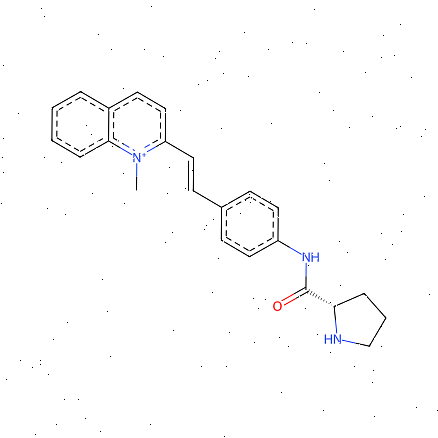 C[n+]1c(C=Cc2ccc(NC(=O)[C@@H]3CCCN3)cc2)ccc2ccccc21